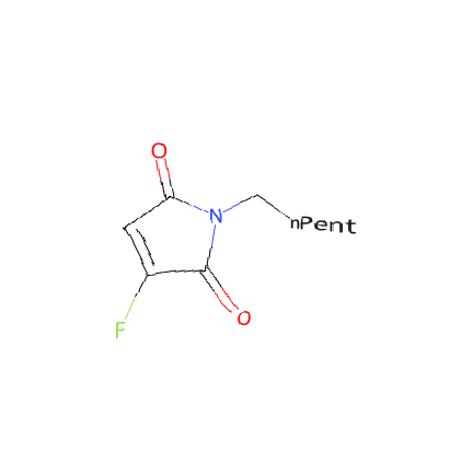 CCCCCCN1C(=O)C=C(F)C1=O